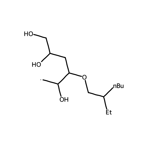 [CH2]C(O)C(CC(O)CO)OCC(CC)CCCC